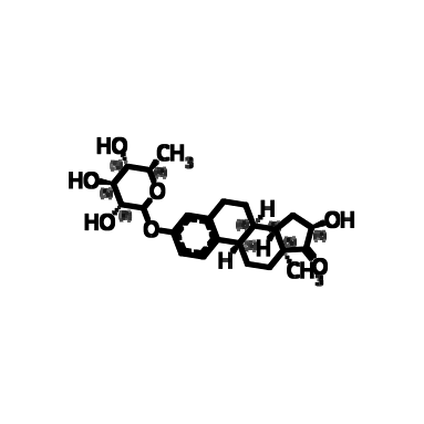 C[C@H]1OC(Oc2ccc3c(c2)CC[C@@H]2[C@@H]3CC[C@]3(C)C(=O)[C@H](O)C[C@@H]23)[C@H](O)[C@@H](O)[C@@H]1O